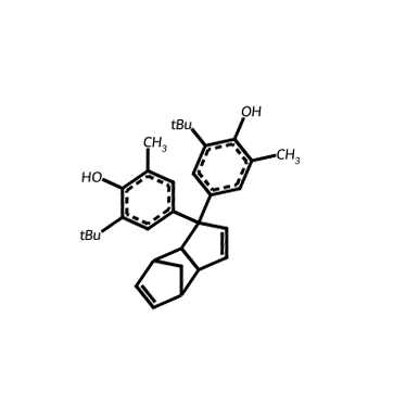 Cc1cc(C2(c3cc(C)c(O)c(C(C)(C)C)c3)C=CC3C4C=CC(C4)C32)cc(C(C)(C)C)c1O